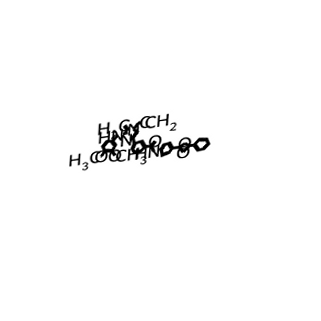 C=C=CN1C=C(c2cccc(C(=O)Nc3ccc(C4OC(c5ccccc5)O4)cc3)c2)N=C(Nc2ccc(OC)c(OC)c2)C1=C